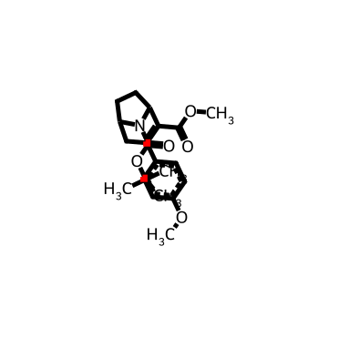 COC(=O)C1=C(c2ccc(OC)cc2)CC2CCC1N2C(=O)OC(C)(C)C